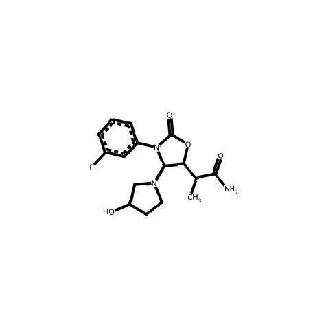 CC(C(N)=O)C1OC(=O)N(c2cccc(F)c2)C1N1CCC(O)C1